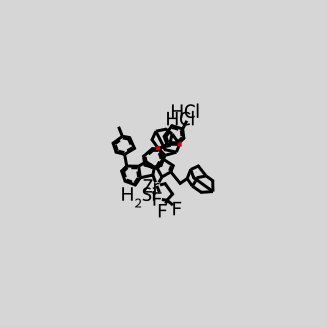 Cc1ccc(-c2cccc3c2C=C(CC2C4CC5CC(C4)CC2C5)[CH]3[Zr]([CH3])(=[SiH2])([CH2]CC(F)(F)F)[CH]2C(CC3C4CC5CC(C4)CC3C5)=Cc3c(-c4ccc(C)cc4)cccc32)cc1.Cl.Cl